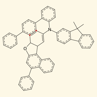 CC1(C)c2ccccc2-c2ccc(N(C3=CC4c5c(cc(-c6ccccc6)c6ccccc56)OC4C=C3)c3ccccc3-c3ccc(-c4ccccc4)cc3)cc21